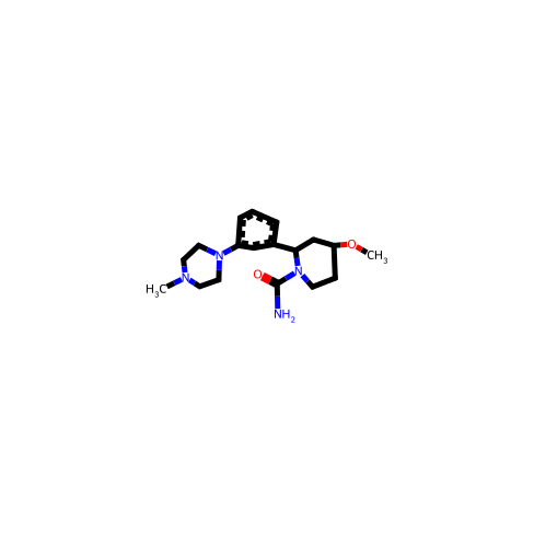 COC1CCN(C(N)=O)C(c2cccc(N3CCN(C)CC3)c2)C1